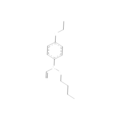 [CH2]COc1ccc(N(C=O)OCCCC)cc1